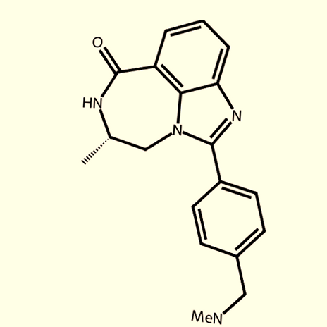 CNCc1ccc(-c2nc3cccc4c3n2C[C@H](C)NC4=O)cc1